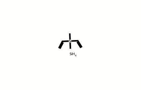 C=C[Si](C)(C)C=C.[SiH4]